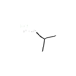 C[CH](C)[GeH3].Cl